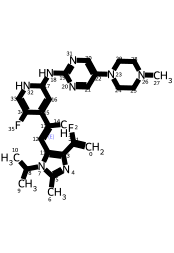 C=C(F)c1nc(C)n(C(C)C)c1/C=C(\C)C1=CC(Nc2ncc(N3CCN(C)CC3)cn2)NC=C1F